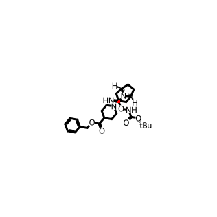 CC(C)(C)OC(=O)NOC(=N)N1[C@@H]2CC[C@H]1C[C@@H](N1CCC(C(=O)OCc3ccccc3)CC1)C2